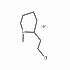 CN1CCCCC1CCCl.Cl